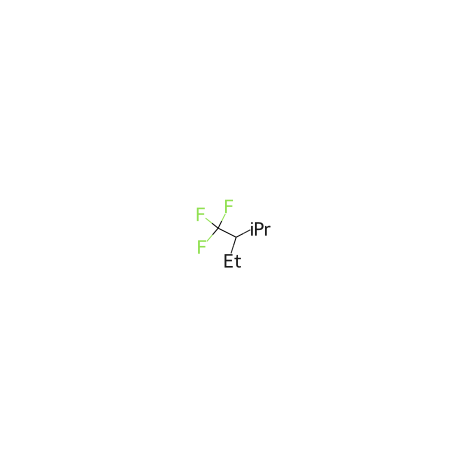 [CH2]CC(C(C)C)C(F)(F)F